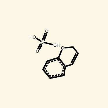 C1=Cc2ccccc2OC1.O=S(=O)(O)O